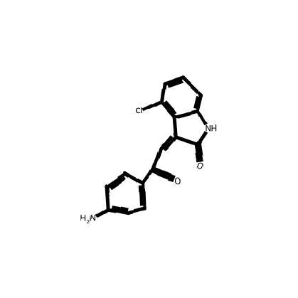 Nc1ccc(C(=O)C=C2C(=O)Nc3cccc(Cl)c32)cc1